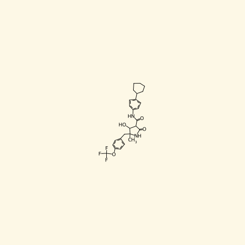 CC1(Cc2ccc(OC(F)(F)F)cc2)NC(=O)C(C(=O)Nc2ccc(C3CCCCC3)cc2)C1O